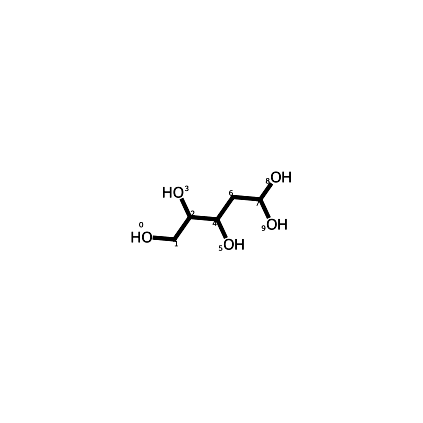 OCC(O)C(O)CC(O)O